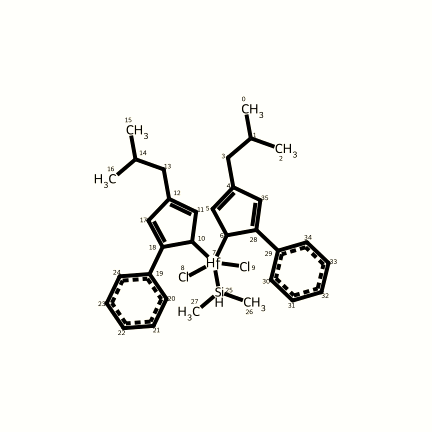 CC(C)CC1=C[CH]([Hf]([Cl])([Cl])([CH]2C=C(CC(C)C)C=C2c2ccccc2)[SiH](C)C)C(c2ccccc2)=C1